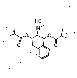 CNC1C(OC(=O)C(C)C)Cc2ccccc2C1OC(=O)C(C)C.Cl